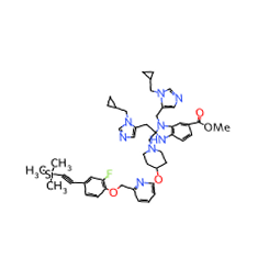 COC(=O)c1ccc2c(c1)N(Cc1cncn1CC1CC1)C(Cc1cncn1CC1CC1)(CN1CCC(Oc3cccc(COc4ccc(C#C[Si](C)(C)C)cc4F)n3)CC1)N2